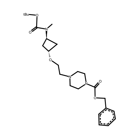 CN(C(=O)OC(C)(C)C)[C@H]1C[C@H](OCCN2CCN(C(=O)OCc3ccccc3)CC2)C1